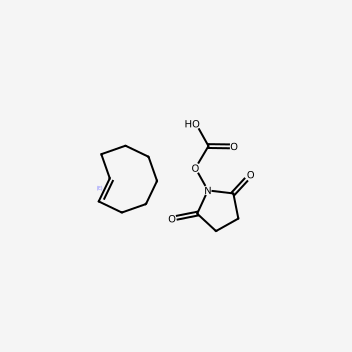 C1=C/CCCCCC/1.O=C(O)ON1C(=O)CCC1=O